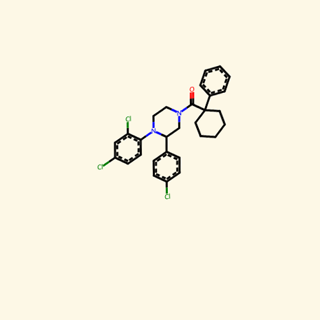 O=C(N1CCN(c2ccc(Cl)cc2Cl)C(c2ccc(Cl)cc2)C1)C1(c2ccccc2)CCCCC1